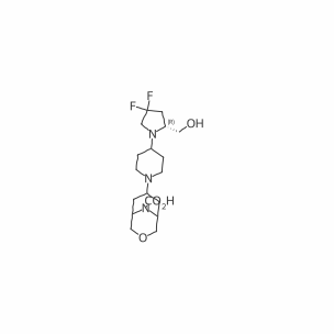 O=C(O)N1C2COCC1CC(N1CCC(N3CC(F)(F)C[C@@H]3CO)CC1)C2